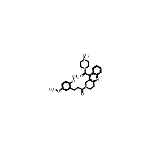 COc1ccc(OC)c(CCC(=O)N2CCc3nc4ccccc4c(C(=O)N4CCN(C)CC4)c3C2)c1